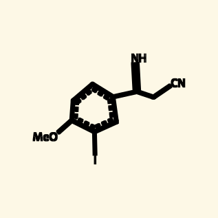 COc1ccc(C(=N)CC#N)cc1I